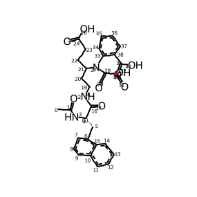 CC(=O)N[C@@H](Cc1cccc2ccccc12)C(=O)NCCC(CCC(=O)O)N(C(=O)C(=O)O)c1ccccc1C(=O)O